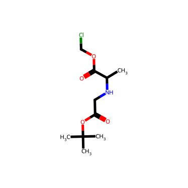 CC(NCC(=O)OC(C)(C)C)C(=O)OCCl